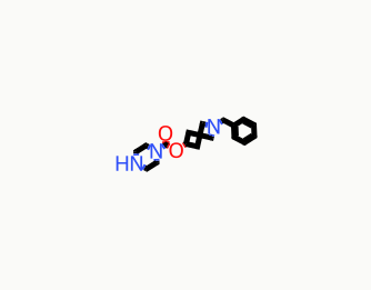 O=C(OC1CC2(C1)CN(Cc1ccccc1)C2)N1CCNCC1